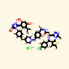 Cc1sc2c(c1C)C(c1ccc(Cl)cc1)=N[C@@H](CC(=O)N[C@H](C)c1ccc(CN3CCC(Cc4ccc(-n5c(O)nnc5-c5cc(C(C)C)c(O)cc5O)cc4)CC3)cc1)c1nnc(C)n1-2.Cl